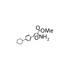 COC(=O)c1cc(-c2ccc(C3CCCCC3)cc2)oc1N